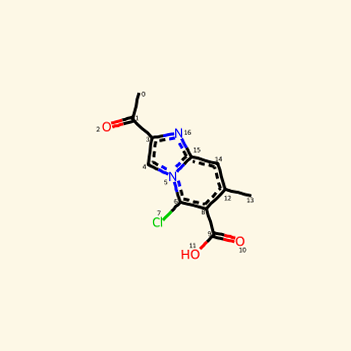 CC(=O)c1cn2c(Cl)c(C(=O)O)c(C)cc2n1